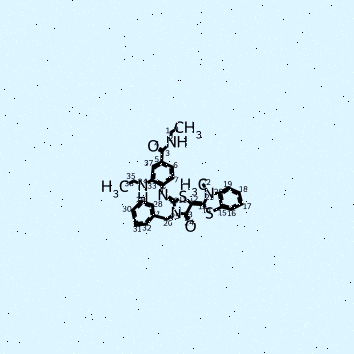 CCNC(=O)c1ccc(N=C2SC(=C3Sc4ccccc4N3C)C(=O)N2Cc2ccccc2)c(NCC)c1